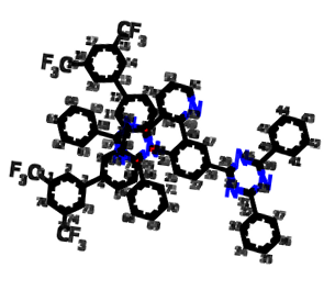 FC(F)(F)c1cc(-c2ccc3c(c2)c2cc(-c4cc(C(F)(F)F)cc(C(F)(F)F)c4)ccc2n3-c2ccc(-c3nc(-c4ccccc4)nc(-c4ccccc4)n3)cc2-c2ncccc2-c2nc(-c3ccccc3)nc(-c3ccccc3)n2)cc(C(F)(F)F)c1